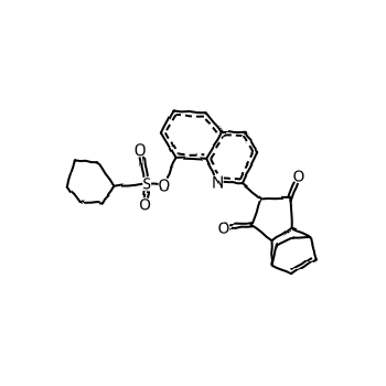 O=C1C(c2ccc3cccc(OS(=O)(=O)C4CCCCC4)c3n2)C(=O)C2C3C=CC(CC3)C12